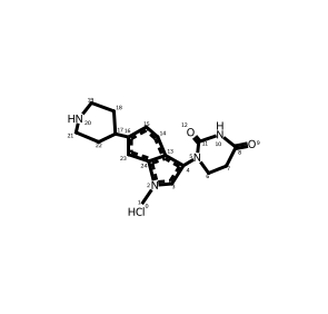 Cl.Cn1cc(N2CCC(=O)NC2=O)c2ccc(C3CCNCC3)cc21